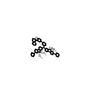 CC1(C)c2cc(-c3ccccc3)ccc2-c2ccc(C(c3cccc(-c4ccc5oc6ccc7ccccc7c6c5c4)c3)c3ccc4c(c3)C(C)(C)c3cc(-c5ccccc5)ccc3-4)cc21